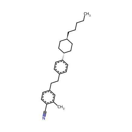 CCCCC[C@H]1CC[C@H](c2ccc(CCc3ccc(C#N)c(C)c3)cc2)CC1